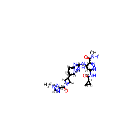 CNC(=O)c1nnc(NC(=O)C2CC2)cc1Nc1nc2ccc(C3CN(C(=O)c4ncn(C)n4)C3)cn2n1